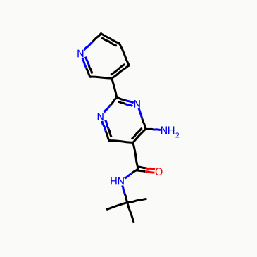 CC(C)(C)NC(=O)c1cnc(-c2cccnc2)nc1N